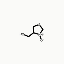 [O-][NH+]1CSCC1CO